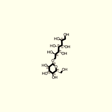 OC[C@H](O)[C@H](O)[C@@H](O)[C@H](O)[C@H](O)CO[C@@H]1O[C@H](CO)[C@@H](O)[C@H](O)[C@H]1O